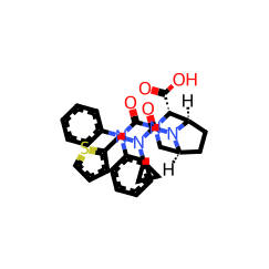 O=C(O)[C@@H]1[C@H]2CC[C@@H](CN1C(=O)N(c1ccccc1)c1ccccc1)N2C(=O)N(Cc1cccs1)C1CC1